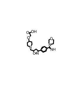 N=C(c1ccc(C2=NOC(CN3CCC(OCC(=O)O)CC3)C2)cc1)N1CCOCC1